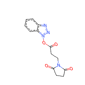 O=C(CCN1C(=O)CCC1=O)On1nnc2ccccc21